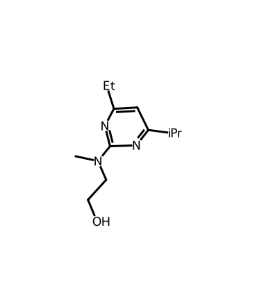 CCc1cc(C(C)C)nc(N(C)CCO)n1